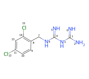 N=C(N)NC(=N)NCc1ccc(Cl)cc1Cl